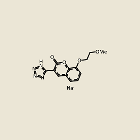 COCCOc1cccc2cc(-c3nnn[nH]3)c(=O)oc12.[Na]